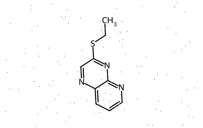 CCSc1cnc2cccnc2n1